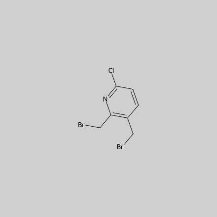 Clc1ccc(CBr)c(CBr)n1